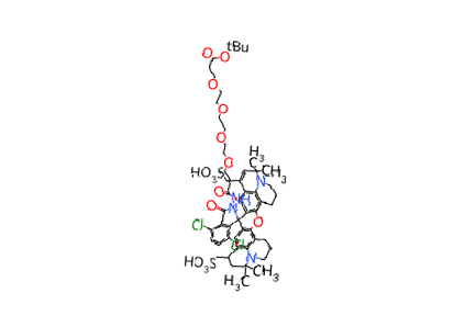 CC(C)(C)OC(=O)CCOCCOCCOCCOCCC(=O)NN1C(=O)c2c(Cl)ccc(Cl)c2C12c1cc3c4c(c1Oc1c2cc2c5c1CCCN5C(C)(C)CC2CS(=O)(=O)O)CCCN4C(C)(C)C=C3CS(=O)(=O)O